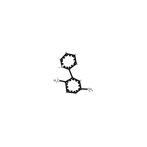 Cc1ccc(C)c(-c2[c]cccn2)c1